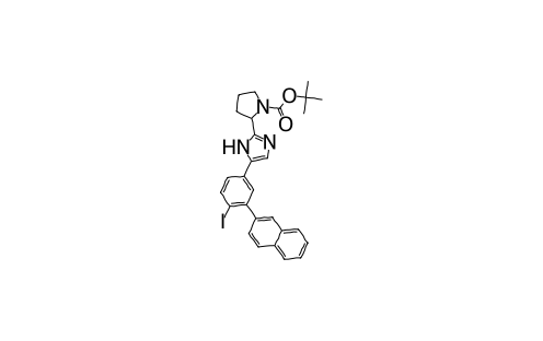 CC(C)(C)OC(=O)N1CCCC1c1ncc(-c2ccc(I)c(-c3ccc4ccccc4c3)c2)[nH]1